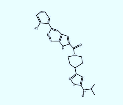 CC(C)[C@@H](C)c1cc(C2CCN(C(=O)c3cc4cc(-c5ccccc5O)nnc4[nH]3)CC2)no1